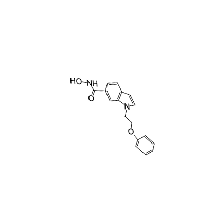 O=C(NO)c1ccc2ccn(CCOc3ccccc3)c2c1